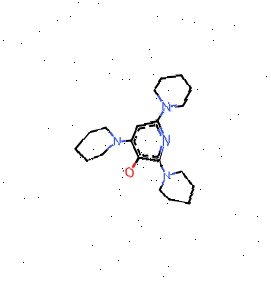 [O]c1c(N2CCCCC2)cc(N2CCCCC2)nc1N1CCCCC1